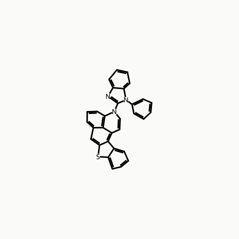 C1=CN(c2nc3ccccc3n2-c2ccccc2)c2cccc3cc4sc5ccccc5c4c1c23